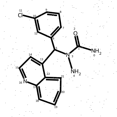 NC(=O)N(N)C(c1cccc(Cl)c1)c1ccnc2ccccc12